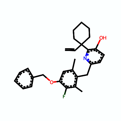 C=CC1(c2nc(Cc3c(C)cc(OCc4ccccc4)c(F)c3C)ccc2O)CCCCC1